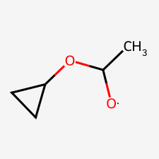 CC([O])OC1CC1